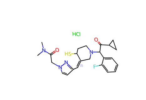 CN(C)C(=O)Cn1ccc(/C=C2/CN(C(C(=O)C3CC3)c3ccccc3F)CCC2S)n1.Cl